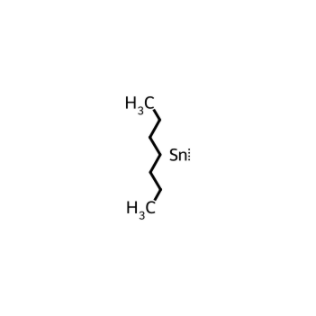 CCCCCCC.[Sn]